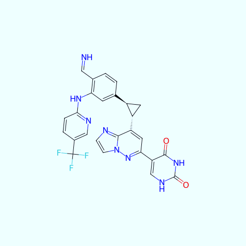 N=Cc1ccc([C@H]2C[C@@H]2c2cc(-c3c[nH]c(=O)[nH]c3=O)nn3ccnc23)cc1Nc1ccc(C(F)(F)F)cn1